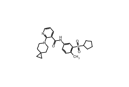 Cc1ccc(NC(=O)c2cccnc2N2CCC3(CC2)CC3)cc1S(=O)(=O)C1CCCC1